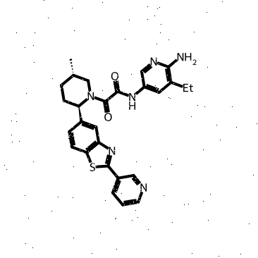 CCc1cc(NC(=O)C(=O)N2C[C@@H](C)CC[C@@H]2c2ccc3sc(-c4cccnc4)nc3c2)cnc1N